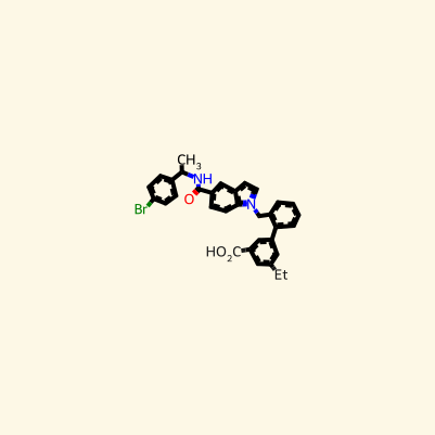 CCc1cc(C(=O)O)cc(-c2ccccc2Cn2ccc3cc(C(=O)NC(C)c4ccc(Br)cc4)ccc32)c1